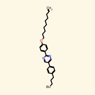 C=CCCCCCCCCOc1ccc(-c2ncc(-c3ccc(CCCC(C)CC)cc3)cn2)cc1